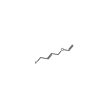 C=COCC=CCF